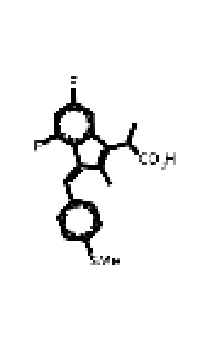 CSc1ccc(C=C2C(C)=C(C(C)C(=O)O)c3cc(F)cc(F)c32)cc1